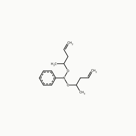 C=CCC(C)ON(OC(C)CC=C)c1ccccc1